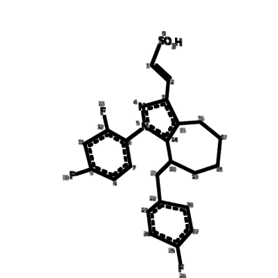 O=S(=O)(O)C=Cc1nn(-c2ccc(F)cc2F)c2c1CCCCC2Cc1ccc(F)cc1